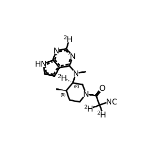 [2H]c1nc(N(C)[C@@]2([2H])CN(C(=O)C([2H])([2H])[N+]#[C-])CC[C@H]2C)c2cc[nH]c2n1